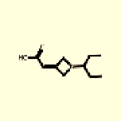 CCC(CC)N1CC(=CC(=O)O)C1